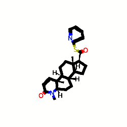 CN1C(=O)C=C[C@]2(C)[C@H]3CC[C@]4(C)[C@@H](C(=O)Sc5ccccn5)CC[C@H]4[C@@H]3CC[C@@H]12